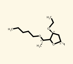 CCCCCO[C@@H](C)C1O[C@@H](I)C[C@@H]1OCC